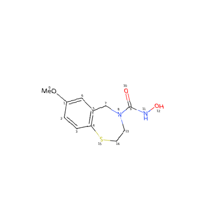 COc1ccc2c(c1)CN(C(=O)NO)CCS2